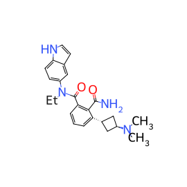 CCN(C(=O)c1cccc([C@H]2C[C@H](N(C)C)C2)c1C(N)=O)c1ccc2[nH]ccc2c1